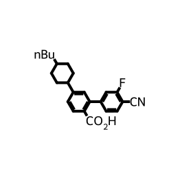 CCCCC1CCC(c2ccc(C(=O)O)c(-c3ccc(C#N)c(F)c3)c2)CC1